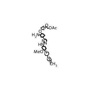 COc1cc(Nc2nccc(-c3ccc(OC4CCN(C(=O)COC(C)=O)C4)c(N)c3)n2)ccc1N1CCC(N2CCN(C)CC2)CC1